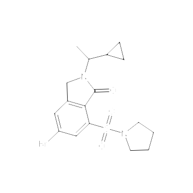 CC(C1CC1)N1Cc2cc(Br)cc(S(=O)(=O)N3CCCC3)c2C1=O